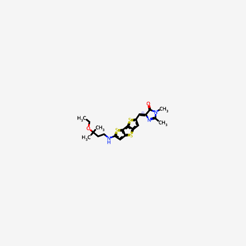 CCOC(C)(C)CCNc1cc2sc3cc(/C=C4\N=C(C)N(C)C4=O)sc3c2s1